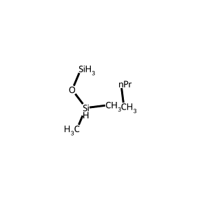 CCCC.C[SiH](C)O[SiH3]